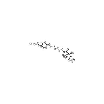 CC(C)C(C)(C)CC(C)(C(=O)OCCCCCCOc1ccc(/C=C/C=O)cc1)C(C)(C)C